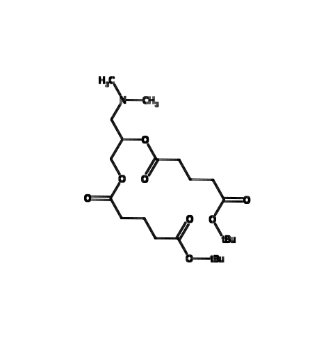 CN(C)CC(COC(=O)CCCC(=O)OC(C)(C)C)OC(=O)CCCC(=O)OC(C)(C)C